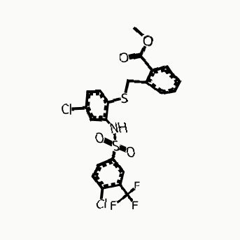 COC(=O)c1ccccc1CSc1ccc(Cl)cc1NS(=O)(=O)c1ccc(Cl)c(C(F)(F)F)c1